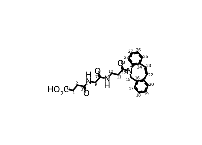 O=C(O)CCC(=O)NCC(=O)NCCC(=O)N1Cc2ccccc2/C=C\c2ccccc21